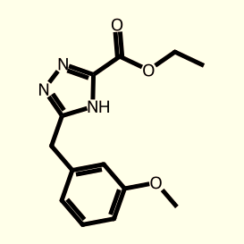 CCOC(=O)c1nnc(Cc2cccc(OC)c2)[nH]1